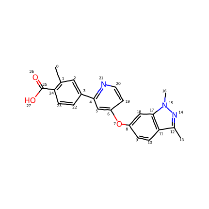 Cc1cc(-c2cc(Oc3ccc4c(C)nn(C)c4c3)ccn2)ccc1C(=O)O